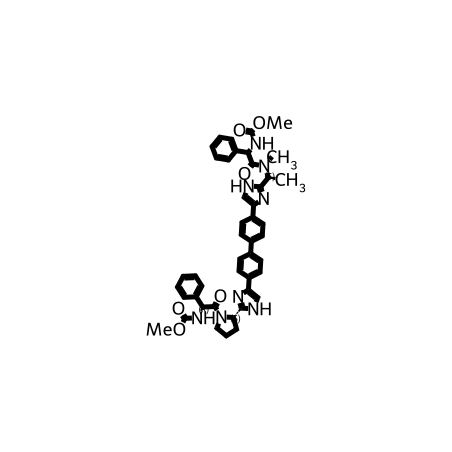 COC(=O)NC(C(=O)N(C)[C@@H](C)c1nc(-c2ccc(-c3ccc(-c4c[nH]c([C@@H]5CCCN5C(=O)[C@H](NC(=O)OC)c5ccccc5)n4)cc3)cc2)c[nH]1)c1ccccc1